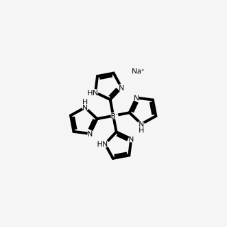 [Na+].c1c[nH]c([B-](c2ncc[nH]2)(c2ncc[nH]2)c2ncc[nH]2)n1